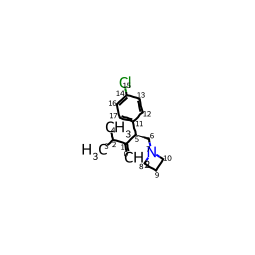 C=C(C(C)C)[C@H](CN1CCC1)c1ccc(Cl)cc1